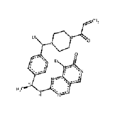 C=CC(=O)N1CCN(C(CC)c2ccc([C@H](C)Nc3ncc4cnc(=O)n(CC)c4n3)cc2)CC1